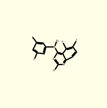 CCN(c1cc(F)cc(I)c1)c1nc(Cl)nc2ccc(F)c(F)c12